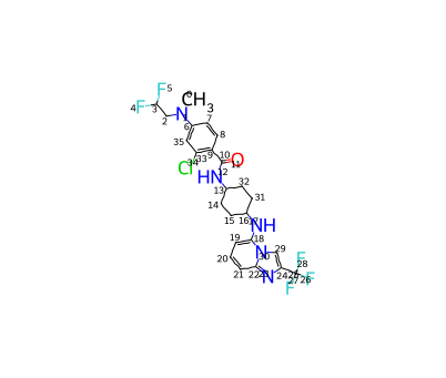 CN(CC(F)F)c1ccc(C(=O)NC2CCC(Nc3cccc4nc(C(F)(F)F)cn34)CC2)c(Cl)c1